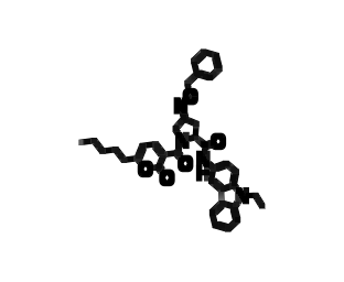 CCCCCc1ccc(C(=O)N2C/C(=N/OCc3ccccc3)C[C@H]2C(=O)Nc2ccc3c(c2)c2ccccc2n3CC)c(=O)o1